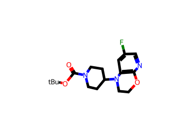 CC(C)(C)OC(=O)N1CCC(N2CCOc3ncc(F)cc32)CC1